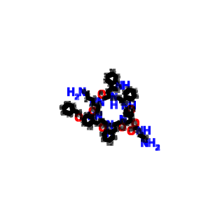 NCCCC[C@H]1NC(=O)C(Cc2c[nH]c3ccccc23)NC[C@@H](c2ccccc2)NC(=O)[C@@H]2CC(OC(=O)NCCN)CN2C(=O)[C@@H](Cc2ccccc2)NC(=O)[C@@H](Cc2ccc(OCc3ccccc3)cc2)NC1=O